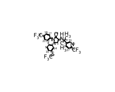 CC(C)(N[C@@H]1C[C@H](c2cccc(SC(F)(F)F)c2)N(c2ccc(C(F)(F)F)cc2)C1=O)c1ccc(C(F)(F)F)nc1